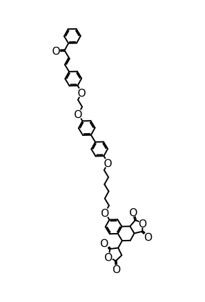 O=C1CC(C2CC3C(=O)OC(=O)C3c3cc(OCCCCCCOc4ccc(-c5ccc(OCCOc6ccc(/C=C/C(=O)c7ccccc7)cc6)cc5)cc4)ccc32)C(=O)O1